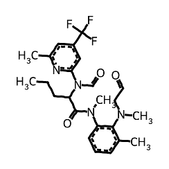 CCCC(C(=O)N(C)c1cccc(C)c1N(C)CC=O)N(C=O)c1cc(C(F)(F)F)cc(C)n1